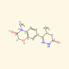 CC1CC(=O)NN=C1c1ccc2c(c1)OCC(=O)N2C